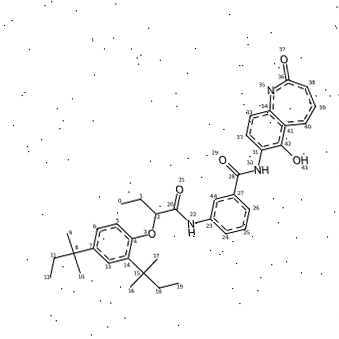 CCC(Oc1ccc(C(C)(C)CC)cc1C(C)(C)CC)C(=O)Nc1cccc(C(=O)Nc2ccc3nc(=O)cccc3c2O)c1